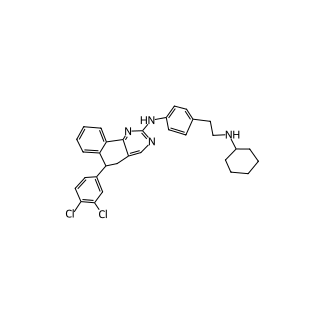 Clc1ccc(C2Cc3cnc(Nc4ccc(CCNC5CCCCC5)cc4)nc3-c3ccccc32)cc1Cl